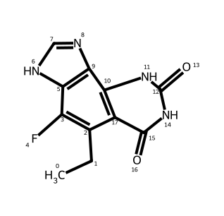 CCc1c(F)c2[nH]cnc2c2[nH]c(=O)[nH]c(=O)c12